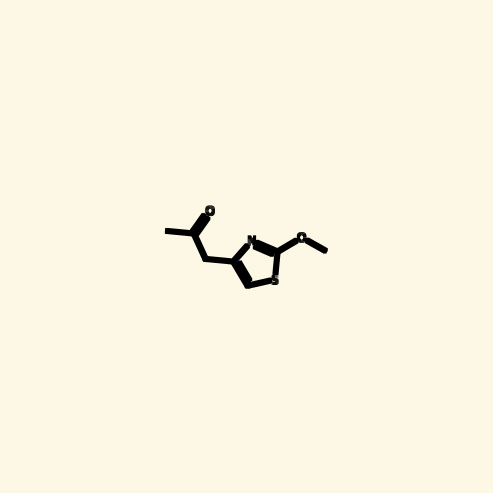 COc1nc(CC(C)=O)cs1